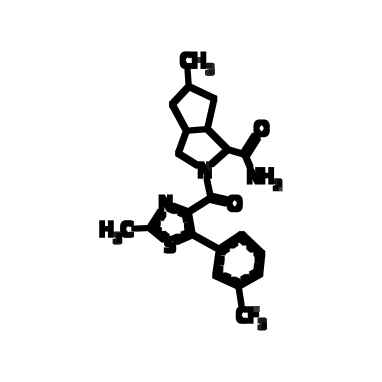 Cc1nc(C(=O)N2CC3CC(C)CC3C2C(N)=O)c(-c2cccc(C(F)(F)F)c2)s1